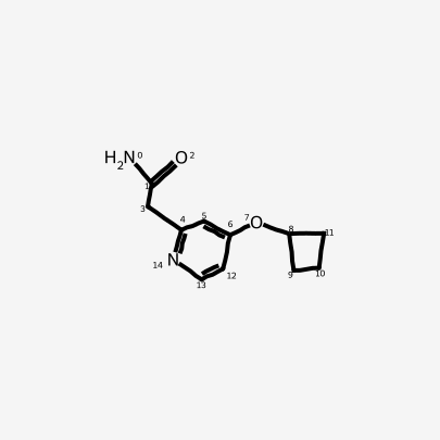 NC(=O)Cc1cc(OC2CCC2)ccn1